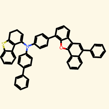 C1=C(N(c2ccc(-c3ccccc3)cc2)c2ccc(-c3cccc4c3oc3c5ccccc5c(-c5ccccc5)cc43)cc2)c2c(sc3ccccc23)CC1